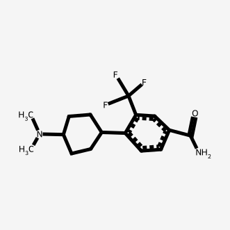 CN(C)C1CCC(c2ccc(C(N)=O)cc2C(F)(F)F)CC1